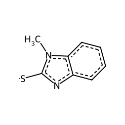 Cn1c([S])nc2ccccc21